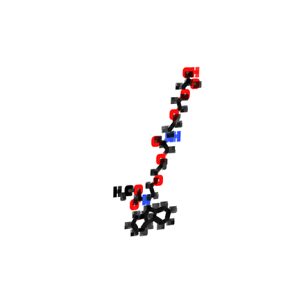 COC(=O)N(CCOCCOCC(=O)NCCOCCOCC(=O)O)C1c2ccccc2-c2ccccc21